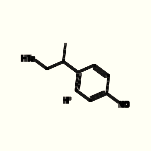 CC(C[TeH])c1ccc(N=O)cc1.[H+]